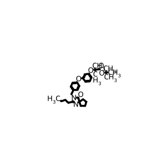 CCCCC1=NC2(CCCC2)C(=O)N1Cc1ccc(Oc2cccc(OC(C)(C)C(=O)OC(C)(C)C)c2)cc1